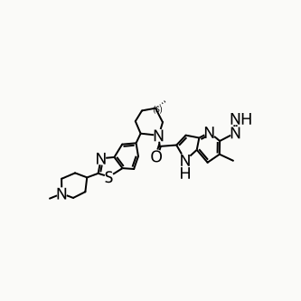 Cc1cc2[nH]c(C(=O)N3C[C@@H](C)CCC3c3ccc4sc(C5CCN(C)CC5)nc4c3)cc2nc1N=N